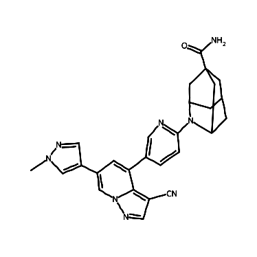 Cn1cc(-c2cc(-c3ccc(N4C5CC6CC4CC(C(N)=O)(C6)C5)nc3)c3c(C#N)cnn3c2)cn1